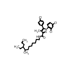 C=CCC(CC)C(C)CCCCCCCNC(=O)c1nn(-c2ccc(Cl)cc2Cl)c(-c2ccc(Cl)cc2)c1C